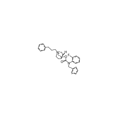 O=C(O[C@H]1C[N+]2(CCCc3ccccc3)CCC1CC2)N(Cc1cccs1)c1ccccc1F